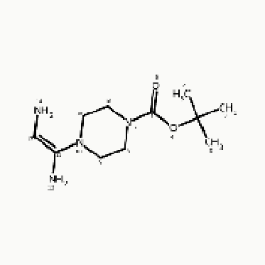 CC(C)(C)OC(=O)N1CCN(/C(N)=C\N)CC1